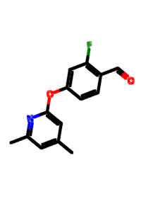 Cc1cc(C)nc(Oc2ccc(C=O)c(F)c2)c1